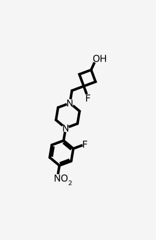 O=[N+]([O-])c1ccc(N2CCN(CC3(F)CC(O)C3)CC2)c(F)c1